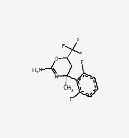 C[C@@]1(c2c(F)cccc2F)CC(C(F)(F)F)OC(N)=N1